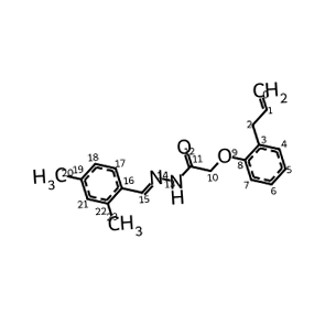 C=CCc1ccccc1OCC(=O)N/N=C/c1ccc(C)cc1C